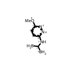 BC(B)Nc1ccc(OC)nn1